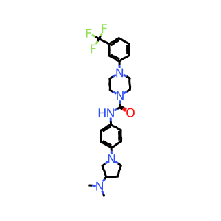 CN(C)C1CCN(c2ccc(NC(=O)N3CCN(c4cccc(C(F)(F)F)c4)CC3)cc2)C1